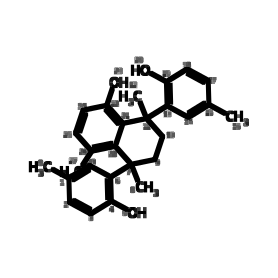 Cc1ccc(O)c(C2(C)CCC(C)(c3cc(C)ccc3O)c3c(O)ccc(C)c32)c1